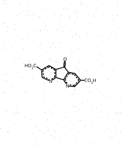 O=C(O)c1cnc2c(c1)C(=O)c1cc(C(=O)O)cnc1-2